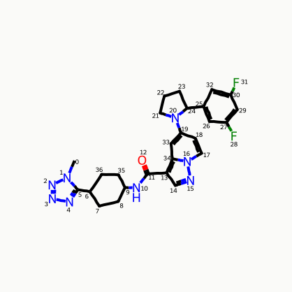 Cn1nnnc1C1CCC(NC(=O)c2cnn3ccc(N4CCCC4c4cc(F)cc(F)c4)cc23)CC1